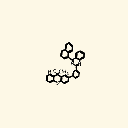 CC1(C)c2ccccc2Sc2ccc(-c3cccc(-c4nc(-c5cccc6ccccc56)c5ccccc5n4)c3)cc21